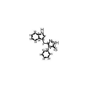 S=c1[nH]nc(Cc2c[nH]c3ccccc23)n1-c1ccccc1